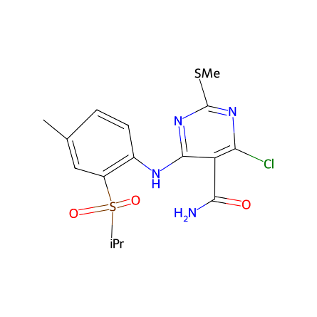 CSc1nc(Cl)c(C(N)=O)c(Nc2ccc(C)cc2S(=O)(=O)C(C)C)n1